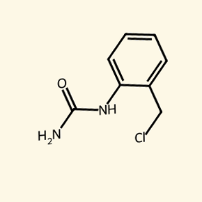 NC(=O)Nc1ccccc1CCl